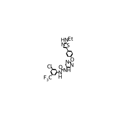 CCNc1ncc(-c2ccc(Oc3ncc(NC(=O)Nc4cc(Cl)cc(C(F)(F)F)c4)cn3)cc2)s1